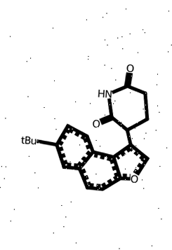 CC(C)(C)c1ccc2c(ccc3occ(C4CCC(=O)NC4=O)c32)c1